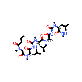 CCCC(=O)N(C)CC(=O)N(C)[C@@H](CC(C)C)C(=O)NC(=O)N(C)[C@@H](CC(C)C)C(=O)N[C@H](C)C(=O)NC(=O)N(C)[C@@H](CC(C)C)C(=O)NC